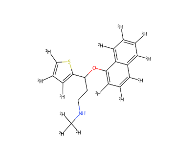 [2H]c1sc(C(CCNC([2H])([2H])[2H])Oc2c([2H])c([2H])c([2H])c3c([2H])c([2H])c([2H])c([2H])c23)c([2H])c1[2H]